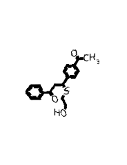 CC(=O)c1ccc(C(CC(=O)c2ccccc2)SCCO)cc1